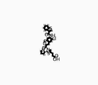 O=C(O)CCc1cnc([C@@H]2CCCN2OCC(=O)Cc2cc(Cl)c(NC(=O)c3csc4ccccc34)cc2F)s1